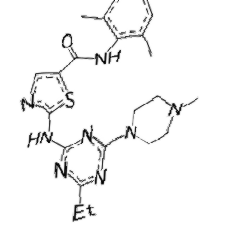 CCc1nc(Nc2ncc(C(=O)Nc3c(C)cccc3C)s2)nc(N2CCN(C)CC2)n1